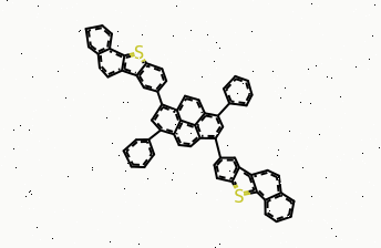 c1ccc(-c2cc(-c3ccc4sc5c6ccccc6ccc5c4c3)c3ccc4c(-c5ccccc5)cc(-c5ccc6sc7c8ccccc8ccc7c6c5)c5ccc2c3c45)cc1